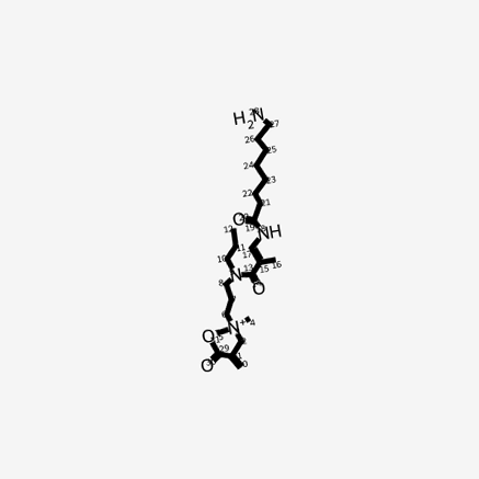 C=C(C[N+](C)(C)CCCN(CCC)C(=O)C(C)=CNC(=O)CCCCCCCN)C(=O)[O-]